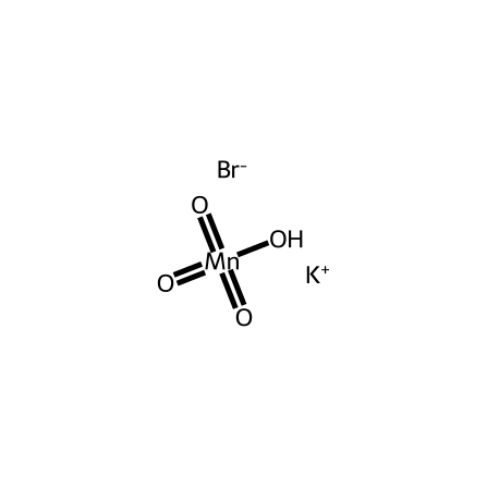 [Br-].[K+].[O]=[Mn](=[O])(=[O])[OH]